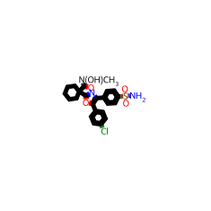 CN(O)C(=O)C1(c2nc(-c3ccc(S(N)(=O)=O)cc3)c(-c3ccc(Cl)cc3)o2)CCCCC1